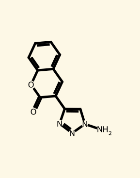 Nn1cc(-c2cc3ccccc3oc2=O)nn1